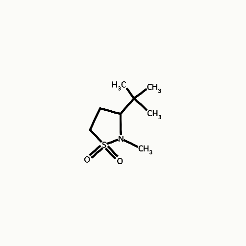 CN1C(C(C)(C)C)CCS1(=O)=O